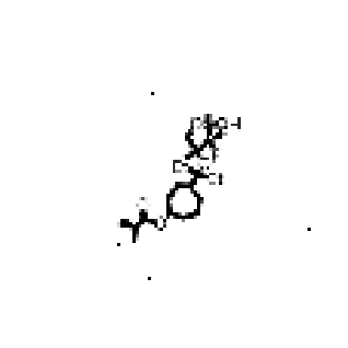 C=C(C)C(=O)OC1CCCC(C(CC)(CC)OC2(C)COC(C)(O)C2(F)F)CC1